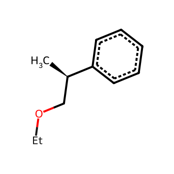 CCOC[C@@H](C)c1ccccc1